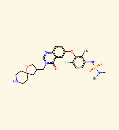 CCN(C)S(=O)(=O)Nc1ccc(F)c(Oc2ccc3ncn(CC4COC5(CCNCC5)C4)c(=O)c3c2)c1C#N